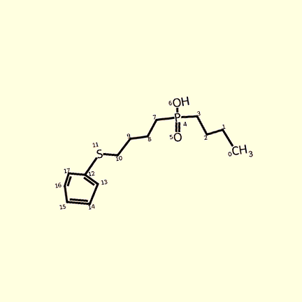 CCCCP(=O)(O)CCCCSc1ccccc1